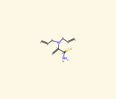 C=CCN(CC=C)C(=C)C(N)=S